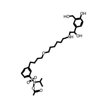 CC(=O)ON(C(C)C)S(=O)(=O)c1cccc(CCCCOCCCCCCNCC(O)c2ccc(O)c(CO)c2)c1